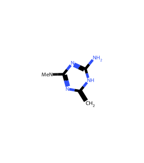 C=C1N=C(NC)N=C(N)N1